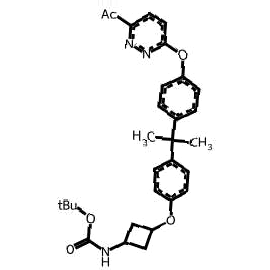 CC(=O)c1ccc(Oc2ccc(C(C)(C)c3ccc(OC4CC(NC(=O)OC(C)(C)C)C4)cc3)cc2)nn1